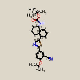 CC(C)Oc1ccc(-c2ncc(-c3cccc4c3CCC[C@H]4NC(=O)OC(C)(C)C)s2)cc1C#N